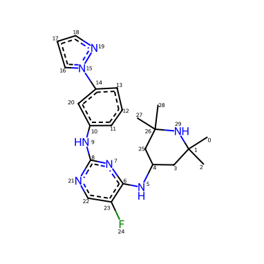 CC1(C)CC(Nc2nc(Nc3cccc(-n4cccn4)c3)ncc2F)CC(C)(C)N1